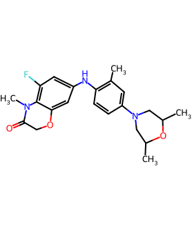 Cc1cc(N2CC(C)OC(C)C2)ccc1Nc1cc(F)c2c(c1)OCC(=O)N2C